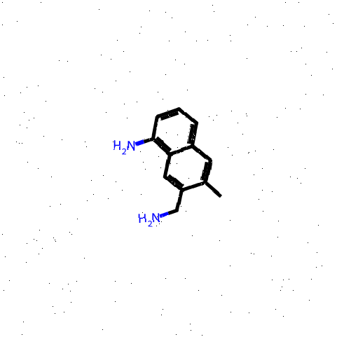 Cc1cc2cccc(N)c2cc1CN